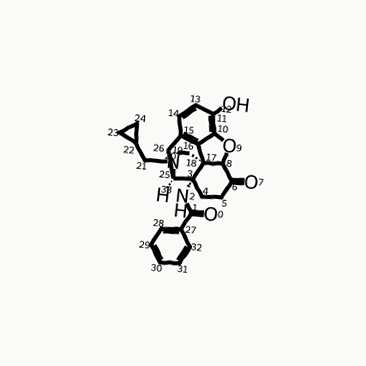 O=C(N[C@@]12CCC(=O)C3Oc4c(O)ccc5c4[C@@]31CCN(CC1CC1)[C@@H]2C5)c1ccccc1